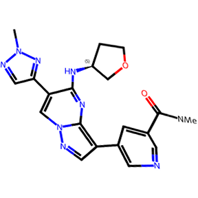 CNC(=O)c1cncc(-c2cnn3cc(-c4cnn(C)n4)c(N[C@H]4CCOC4)nc23)c1